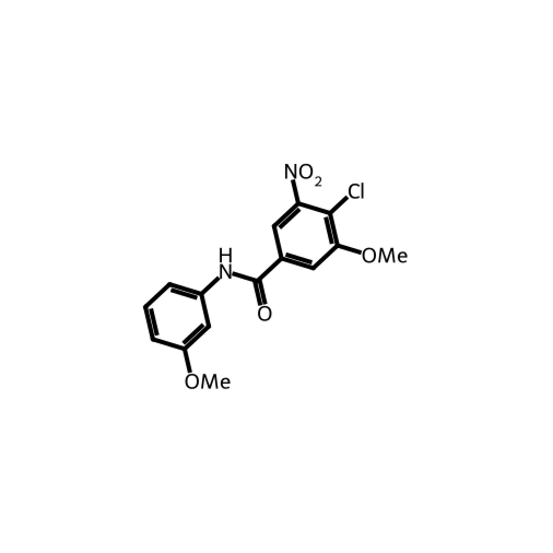 COc1cccc(NC(=O)c2cc(OC)c(Cl)c([N+](=O)[O-])c2)c1